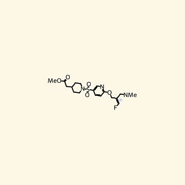 CNC/C(=C/F)COc1ccc(S(=O)(=O)N2CCC(CC(=O)OC)CC2)cn1